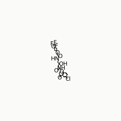 O=C(CO[C@H]1C[C@@H](OC(F)(F)F)C1)NCC[C@H](O)CNC(=O)[C@H]1CC(=O)c2cc(Cl)ccc2O1